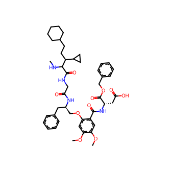 CNC(C(=O)NCC(=O)N[C@@H](COc1cc(OC)c(OC)cc1C(=O)N[C@@H](CC(=O)O)C(=O)OCc1ccccc1)Cc1ccccc1)C(CCC1CCCCC1)C1CC1